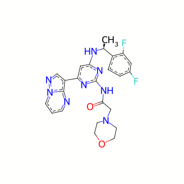 C[C@H](Nc1cc(-c2cnn3cccnc23)nc(NC(=O)CN2CCOCC2)n1)c1ccc(F)cc1F